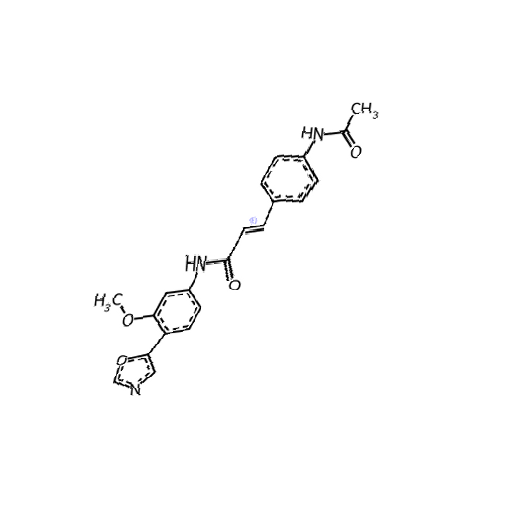 COc1cc(NC(=O)/C=C/c2ccc(NC(C)=O)cc2)ccc1-c1cnco1